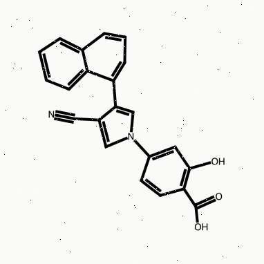 N#Cc1cn(-c2ccc(C(=O)O)c(O)c2)cc1-c1cccc2ccccc12